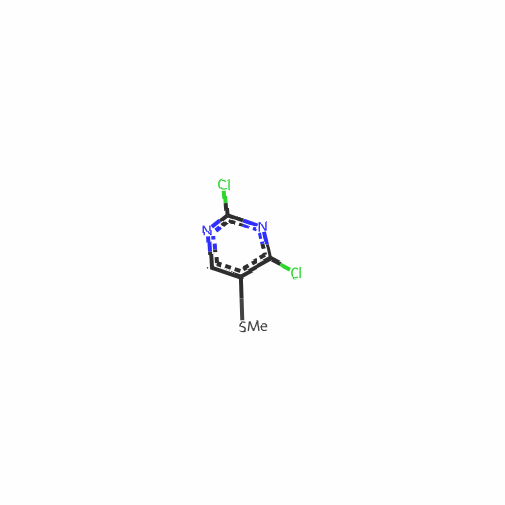 CSc1[c]nc(Cl)nc1Cl